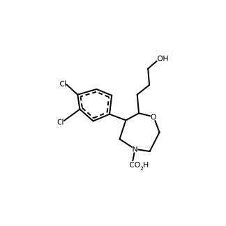 O=C(O)N1CCOC(CCCO)C(c2ccc(Cl)c(Cl)c2)C1